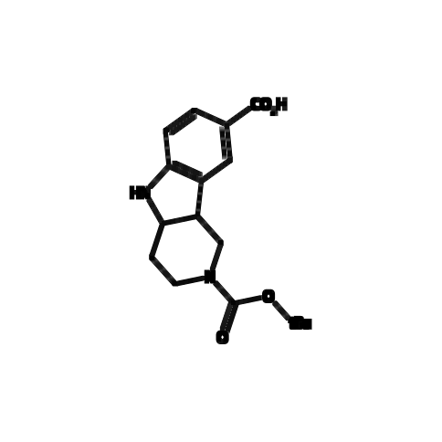 CC(C)(C)OC(=O)N1CCC2Nc3ccc(C(=O)O)cc3C2C1